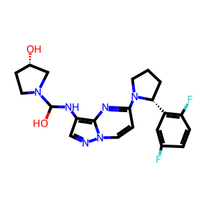 OC(Nc1cnn2ccc(N3CCC[C@@H]3c3cc(F)ccc3F)nc12)N1CC[C@H](O)C1